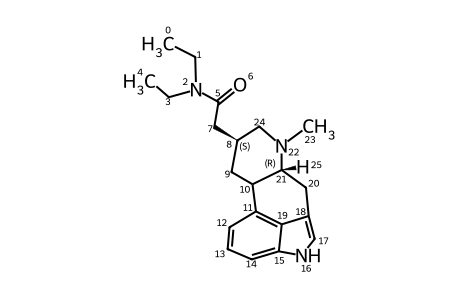 CCN(CC)C(=O)C[C@@H]1CC2c3cccc4[nH]cc(c34)C[C@H]2N(C)C1